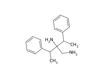 CC(c1ccccc1)C(N)(CN)C(C)c1ccccc1